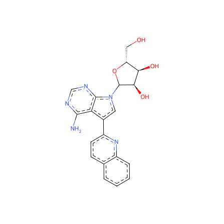 Nc1ncnc2c1c(-c1ccc3ccccc3n1)cn2C1O[C@H](CO)[C@@H](O)[C@H]1O